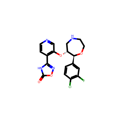 O=c1[nH]c(-c2ccncc2O[C@@H]2CNCCO[C@H]2c2ccc(Cl)c(F)c2)no1